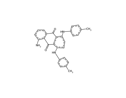 Cc1ccc(Nc2ccc(Nc3ccc(C)cc3)c3c2C(=O)c2cccc(N)c2C3=O)cc1